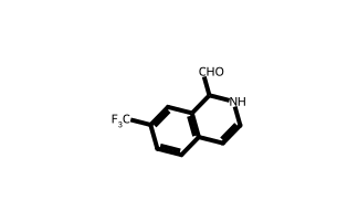 O=CC1NC=Cc2ccc(C(F)(F)F)cc21